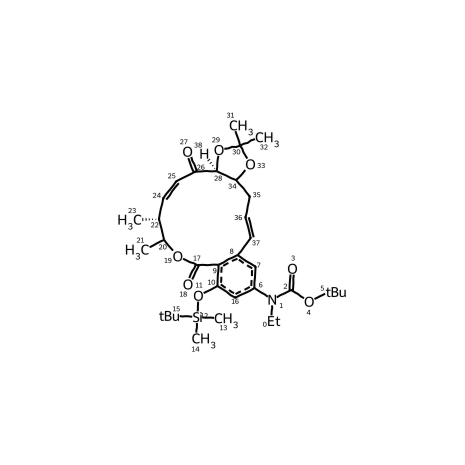 CCN(C(=O)OC(C)(C)C)c1cc2c(c(O[Si](C)(C)C(C)(C)C)c1)C(=O)OC(C)[C@H](C)/C=C\C(=O)[C@H]1OC(C)(C)OC1C/C=C/2